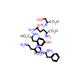 NC(=O)CC[C@H](N)C(=O)O.NCCc1c[nH]cn1.N[C@@H](CO)C(=O)O.N[C@@H](Cc1ccc(O)cc1)C(=O)O.N[C@@H](Cc1ccccc1)C(=O)O